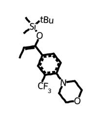 C/C=C(/O[Si](C)(C)C(C)(C)C)c1ccc(N2CCOCC2)c(C(F)(F)F)c1